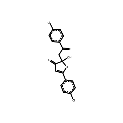 O=C(CC1(O)OC(c2ccc(Cl)cc2)=CC1=O)c1ccc(Cl)cc1